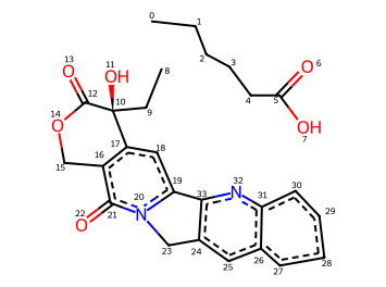 CCCCCC(=O)O.CC[C@@]1(O)C(=O)OCc2c1cc1n(c2=O)Cc2cc3ccccc3nc2-1